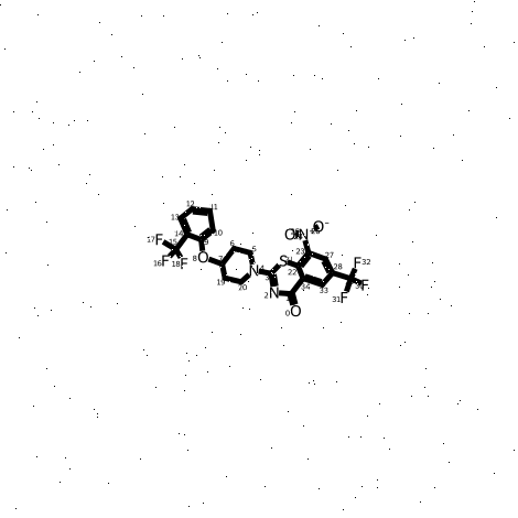 O=c1nc(N2CCC(Oc3ccccc3C(F)(F)F)CC2)sc2c([N+](=O)[O-])cc(C(F)(F)F)cc12